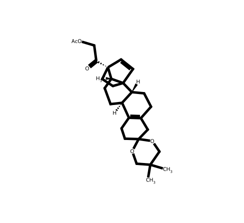 CC(=O)OCC(=O)[C@@]12C=CC3(CC1)[C@@H]1CCC4=C(CCC5(C4)OCC(C)(C)CO5)[C@H]1CC[C@@]32C